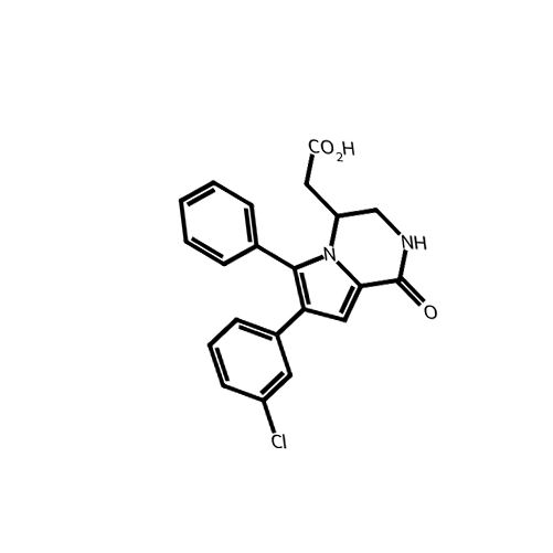 O=C(O)CC1CNC(=O)c2cc(-c3cccc(Cl)c3)c(-c3ccccc3)n21